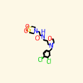 O=C(CN1CCS(=O)(=O)CC1)NCC1CN(Cc2ccc(Cl)c(Cl)c2)CCO1